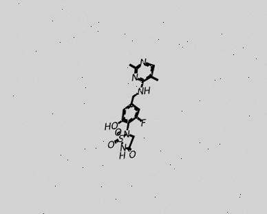 Cc1ncc(C)c(NCc2cc(O)c(N3CC(=O)NS3(=O)=O)c(F)c2)n1